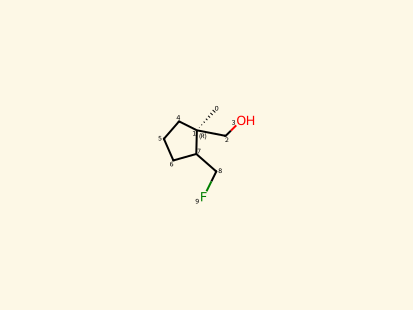 C[C@@]1(CO)CCCC1CF